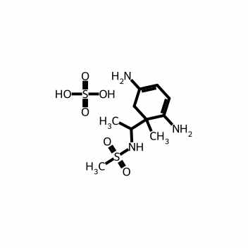 CC(NS(C)(=O)=O)C1(C)CC(N)=CC=C1N.O=S(=O)(O)O